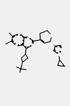 Cc1nc2nc(C3=C[C@H](c4cnn(C5CC5)c4)OCC3)nc(C3CC(C(F)(F)F)C3)c2nc1C